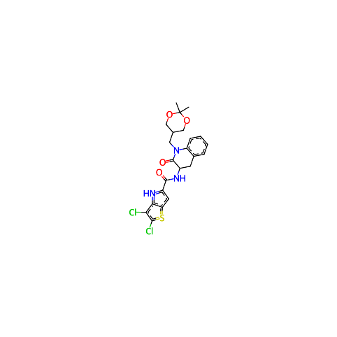 CC1(C)OCC(CN2C(=O)C(NC(=O)c3cc4sc(Cl)c(Cl)c4[nH]3)Cc3ccccc32)CO1